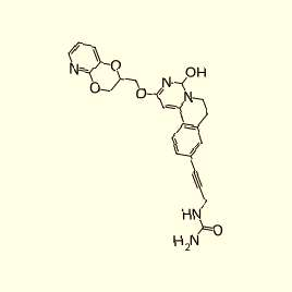 NC(=O)NCC#Cc1ccc2c(c1)CCN1C2=CC(OCC2COc3ncccc3O2)=NC1O